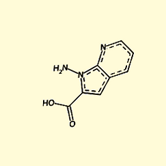 Nn1c(C(=O)O)cc2cccnc21